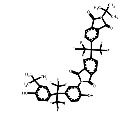 CC(C)(C)c1cc(C(c2ccc(O)c(N3C(=O)c4ccc(C(c5ccc6c(c5)C(=O)N(C(C)(C)C)C6=O)(C(F)(F)F)C(F)(F)F)cc4C3=O)c2)(C(F)(F)F)C(F)(F)F)ccc1O